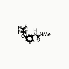 CNC(=O)Nc1cccc(OC(F)(F)C(F)F)c1